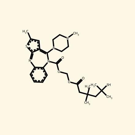 Cc1cc2c(s1)=Nc1ccccc1N(C(=O)OCOC(=O)CC(C)(C)CC(C)(C)S)C=2N1CCN(C)CC1